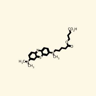 CN(C)c1ccc2nc3ccc(N(C)CCCCC(=O)OCCCC(=O)O)cc3[s+]c2c1